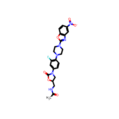 CC(=O)NCC1CN(c2ccc(N3CCN(c4nc5cc([N+](=O)[O-])ccc5o4)CC3)c(F)c2)C(=O)O1